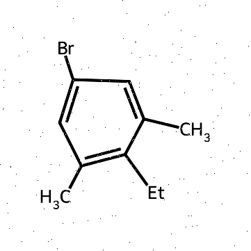 CCc1c(C)cc(Br)cc1C